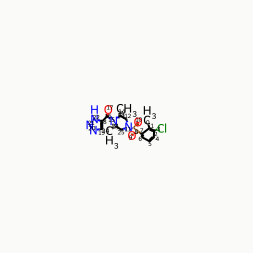 Cc1c(Cl)cccc1S(=O)(=O)N1C[C@@H](C)N(C(=O)c2cnn[nH]2)[C@@H](C)C1